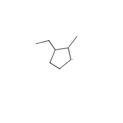 CCC1CC[CH]C1C